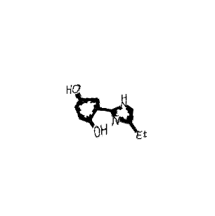 CCc1c[nH]c(-c2cc(O)ccc2O)n1